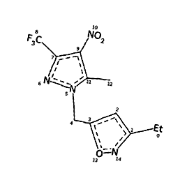 CCc1cc(Cn2nc(C(F)(F)F)c([N+](=O)[O-])c2C)on1